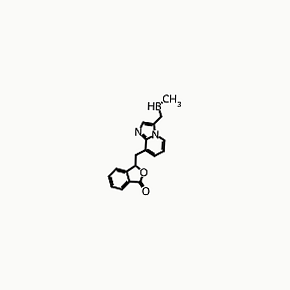 CBCc1cnc2c(CC3OC(=O)c4ccccc43)cccn12